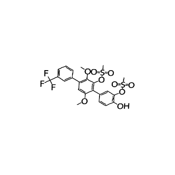 COc1cc(-c2cccc(C(F)(F)F)c2)c(OC)c(OS(C)(=O)=O)c1-c1ccc(O)c(OS(C)(=O)=O)c1